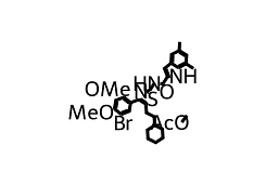 COC(C)=O.COc1cc(OC)c(-c2nc(NC(=O)c3cc4cc(C)cc(C)c4[nH]3)sc2CCC2CCCCC2)cc1Br